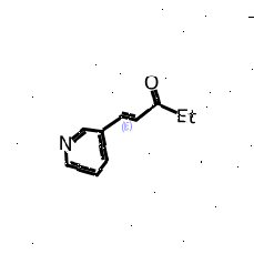 CCC(=O)/C=C/c1cccnc1